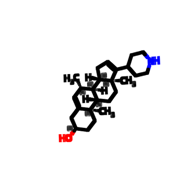 C[C@H]1C=C2C[C@H](O)CC[C@]2(C)[C@H]2CC[C@]3(C)C(C4CCNCC4)=CC[C@H]3[C@H]12